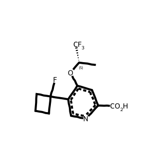 C[C@H](Oc1cc(C(=O)O)ncc1C1(F)CCC1)C(F)(F)F